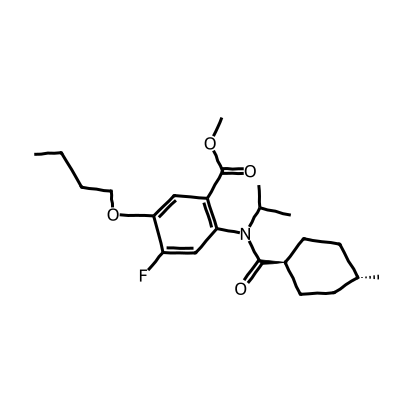 CCCCOc1cc(C(=O)OC)c(N(C(=O)[C@H]2CC[C@H](C)CC2)C(C)C)cc1F